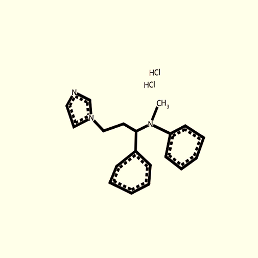 CN(c1ccccc1)C(CCn1ccnc1)c1ccccc1.Cl.Cl